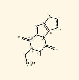 CCOC(=O)Cn1[nH]c(=O)n2c(cc3scnc32)c1=O